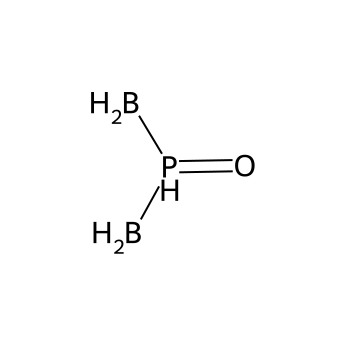 B[PH](B)=O